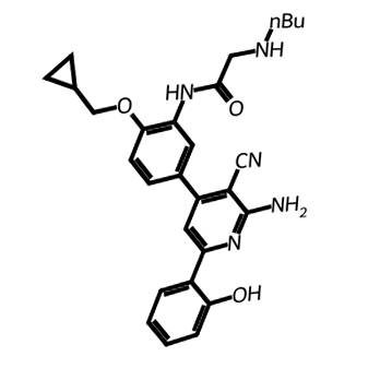 CCCCNCC(=O)Nc1cc(-c2cc(-c3ccccc3O)nc(N)c2C#N)ccc1OCC1CC1